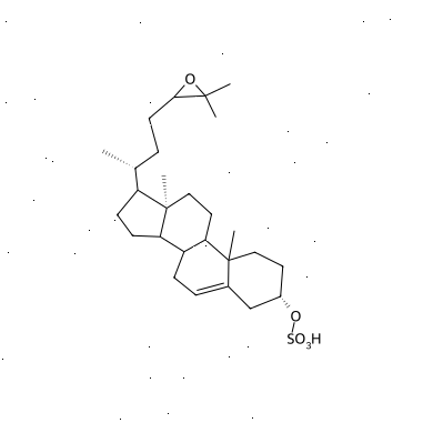 C[C@H](CCC1OC1(C)C)C1CCC2C3CC=C4C[C@@H](OS(=O)(=O)O)CCC4(C)C3CC[C@@]21C